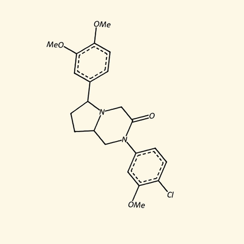 COc1cc(N2CC3CCC(c4ccc(OC)c(OC)c4)N3CC2=O)ccc1Cl